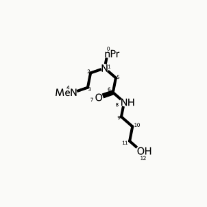 CCCN(CCNC)CC(=O)NCCCO